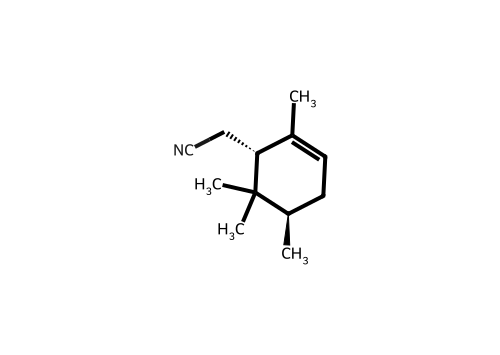 CC1=CC[C@@H](C)C(C)(C)[C@@H]1CC#N